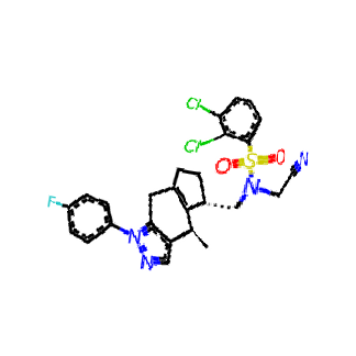 C[C@@H]1C2=C(CC[C@@H]2CN(CC#N)S(=O)(=O)c2cccc(Cl)c2Cl)Cc2c1cnn2-c1ccc(F)cc1